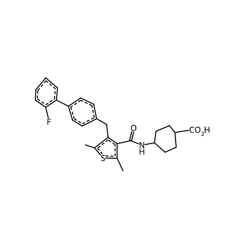 Cc1sc(C)c(C(=O)NC2CCC(C(=O)O)CC2)c1Cc1ccc(-c2ccccc2F)cc1